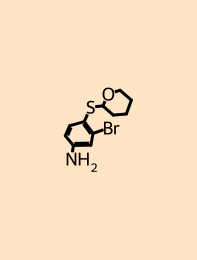 Nc1ccc(SC2CCCCO2)c(Br)c1